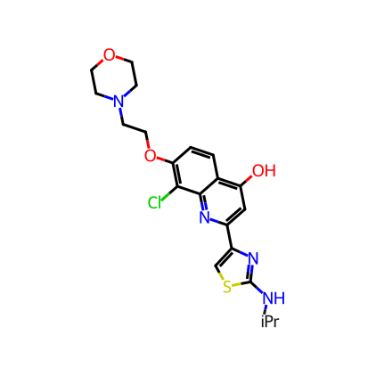 CC(C)Nc1nc(-c2cc(O)c3ccc(OCCN4CCOCC4)c(Cl)c3n2)cs1